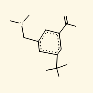 CN(C)Cc1cc(C(=O)O)cc(C(F)(F)F)c1